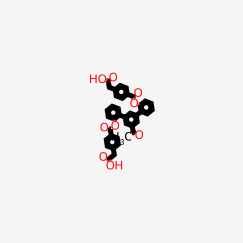 CC(=O)c1cc(-c2ccccc2OC(=O)c2ccc(CC(=O)O)cc2)cc(-c2ccccc2OC(=O)c2ccc(CC(=O)O)cc2)c1